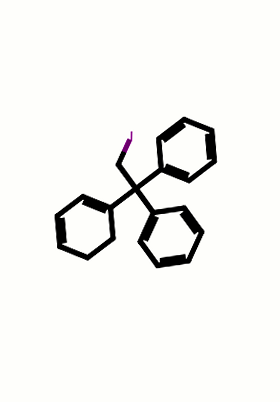 ICC(C1=CC=CCC1)(c1ccccc1)c1ccccc1